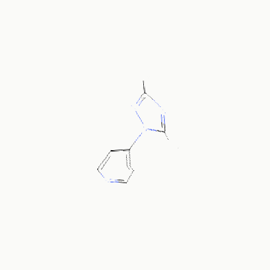 Cc1nc(C(C)C)nn1-c1ccncc1